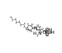 CCCCCCCCc1ccc(N2CCC(N)(COP(=O)(O)O)C2)cc1